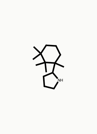 CC1(C)CCCC(C)(C2CCCN2)C1(C)C